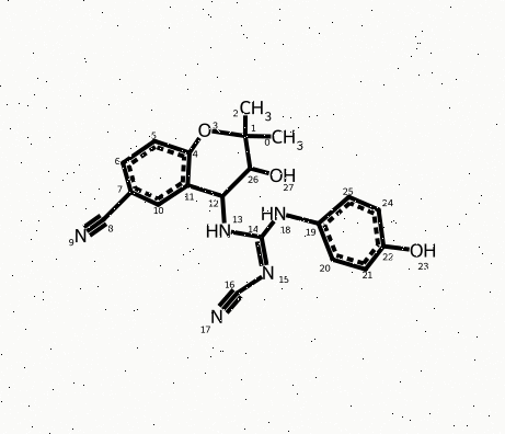 CC1(C)Oc2ccc(C#N)cc2C(N/C(=N\C#N)Nc2ccc(O)cc2)C1O